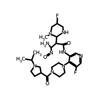 CC(C)N1CCC(C(=O)N2CCN(c3c(F)cncc3NC(=O)C(C(N)N=O)C3NCC(F)CN3C)CC2)C1